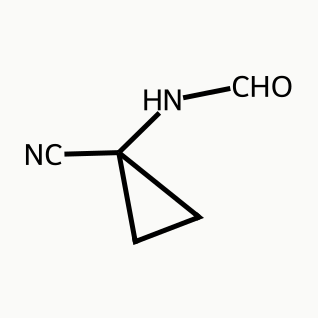 N#CC1(NC=O)CC1